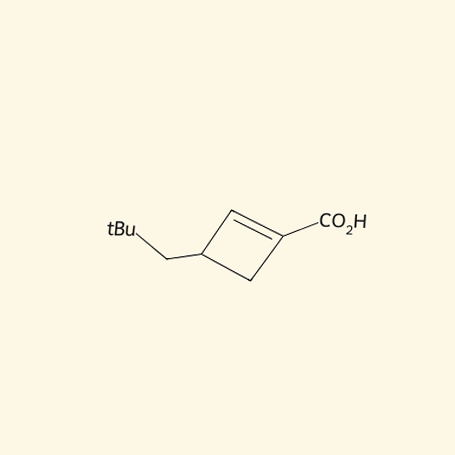 CC(C)(C)CC1C=C(C(=O)O)C1